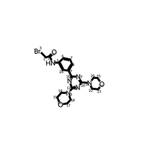 O=C(CBr)Nc1cccc(-c2nc(N3CCOCC3)nc(N3CCOCC3)n2)c1